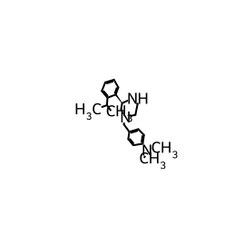 CC(C)c1ccccc1[C@@H]1CN(Cc2ccc(N(C)C)cc2)CCN1